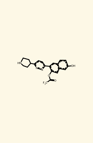 O=C(Oc1cc2cc(O)ccc2cc1-c1ccc(C2CCNCC2)nn1)C(F)(F)F